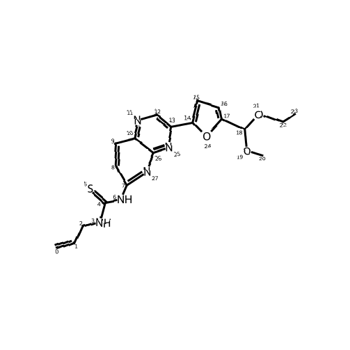 C=CCNC(=S)Nc1ccc2ncc(-c3ccc(C(OC)OCC)o3)nc2n1